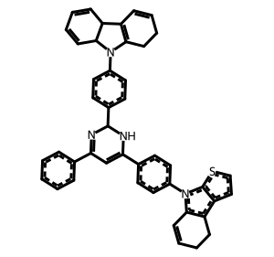 C1=CC2C3=C(CCC=C3)N(c3ccc(C4N=C(c5ccccc5)C=C(c5ccc(-n6c7c(c8ccsc86)CCC=C7)cc5)N4)cc3)C2C=C1